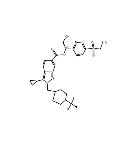 CCS(=O)(=O)c1ccc([C@H](CO)NC(=O)c2ccc3c(C4CC4)n(CC4CCC(C(F)(F)F)CC4)nc3c2)nc1